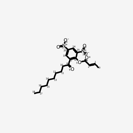 CC=CC(=O)Oc1c(C(=O)CCCCCCCCC)cc([N+](=O)[O-])cc1[N+](=O)[O-]